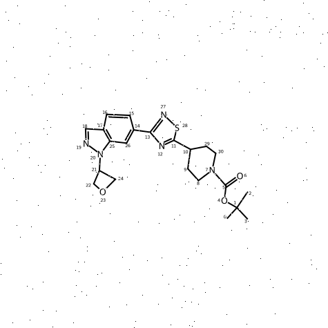 CC(C)(C)OC(=O)N1CCC(c2nc(-c3ccc4cnn(C5COC5)c4c3)ns2)CC1